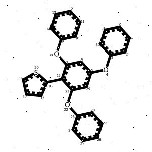 c1ccc(Oc2cc(Oc3ccccc3)c(-c3cccs3)c(Oc3ccccc3)c2)cc1